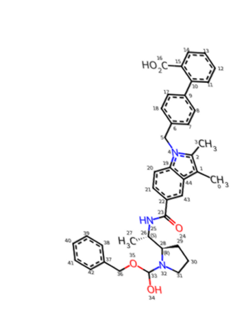 Cc1c(C)n(Cc2ccc(-c3ccccc3C(=O)O)cc2)c2ccc(C(=O)N[C@@H](C)[C@H]3CCCN3C(O)OCc3ccccc3)cc12